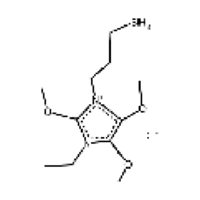 CCn1c(OC)c(OC)[n+](CCC[SiH3])c1OC.[Cl-]